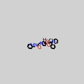 C[C@@](C(=O)O[C@H]1C[N+]2(CC(=O)NCc3ccccc3)CCC1CC2)(c1ccccc1)N1CCCCC1